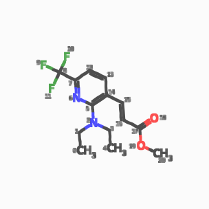 CCN(CC)c1nc(C(F)(F)F)ccc1C=CC(=O)OC